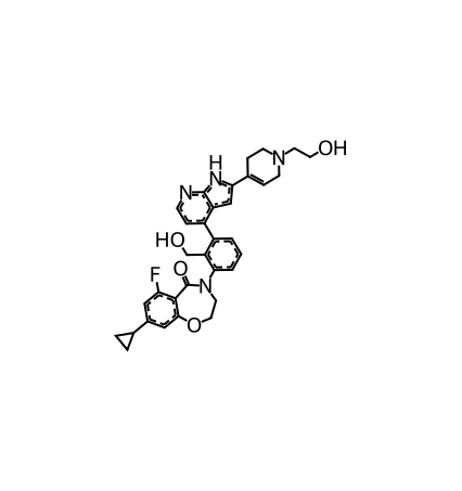 O=C1c2c(F)cc(C3CC3)cc2OCCN1c1cccc(-c2ccnc3[nH]c(C4=CCN(CCO)CC4)cc23)c1CO